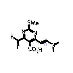 CSc1nc(/C=C/N(C)C)c(C(=O)O)c(C(F)F)n1